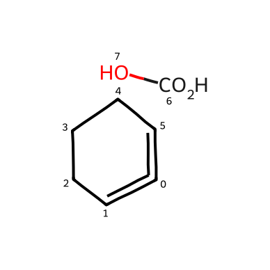 C1=CCCCC=1.O=C(O)O